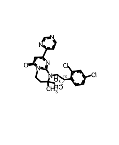 CC1(C)CCn2c(nc(-c3ccncn3)cc2=O)N1C[C@@H](O)c1ccc(Cl)cc1Cl